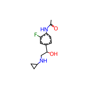 CC(=O)Nc1ccc(C(O)CNC2CC2)cc1F